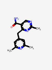 Cc1cc(Cc2nc(C)ncc2C(N)=O)cc(C)n1